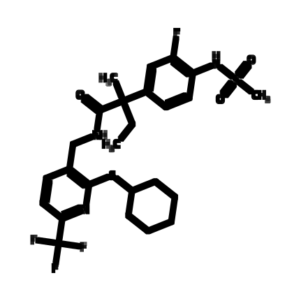 CCC(C)(C(=O)NCc1ccc(C(F)(F)F)nc1SC1CCCCC1)c1ccc(NS(C)(=O)=O)c(F)c1